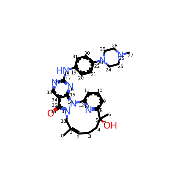 C/C1=C/CCC(C)(O)c2cccc(n2)-n2c3nc(Nc4ccc(N5CCN(C)CC5)cc4)ncc3c(=O)n2C1